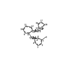 Cc1ccccc1.Nc1ccccc1Nc1cccs1